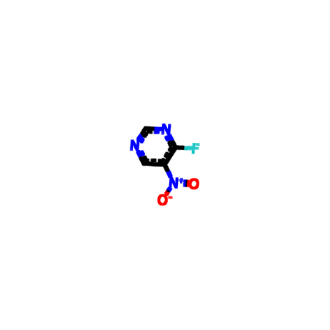 O=[N+]([O-])c1cncnc1F